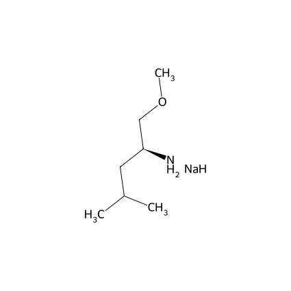 COC[C@@H](N)CC(C)C.[NaH]